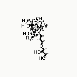 CCC[Si](C)(O[Si](C)(C)O[Si](C)(C)C)O[Si](C)(CCCOCC(O)CO)O[Si](C)(C)C